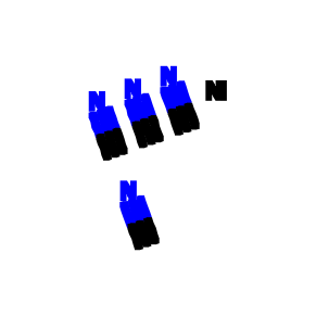 C#N.C#N.C#N.C#N.[Ni]